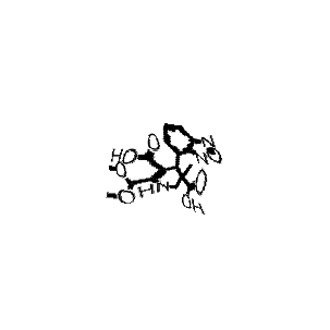 COC(OC)C1=C(C(=O)O)C(c2cccc3nonc23)C(C)(C(=O)O)CN1